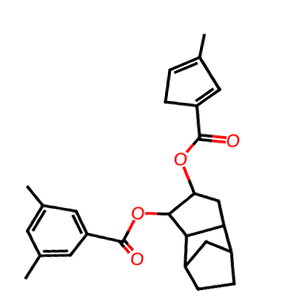 CC1=CCC(C(=O)OC2CC3C4CCC(C4)C3C2OC(=O)c2cc(C)cc(C)c2)=C1